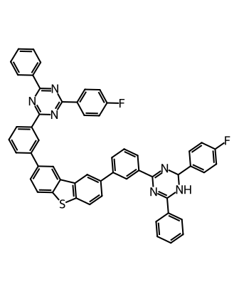 Fc1ccc(-c2nc(-c3ccccc3)nc(-c3cccc(-c4ccc5sc6ccc(-c7cccc(C8=NC(c9ccc(F)cc9)NC(c9ccccc9)=N8)c7)cc6c5c4)c3)n2)cc1